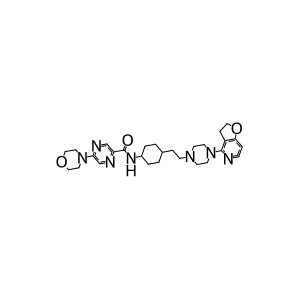 O=C(NC1CCC(CCN2CCN(c3nccc4c3CCO4)CC2)CC1)c1cnc(N2CCOCC2)cn1